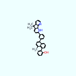 Cc1ccc(-c2cccc(C3=CC=C4C(N3)c3ncccc3C4(C)C)c2)c2cccc(-c3ccccc3O)c12